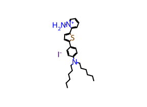 CCCCCCN(CCCCCC)c1ccc(-c2ccc(-c3cccc[n+]3N)s2)cc1.[I-]